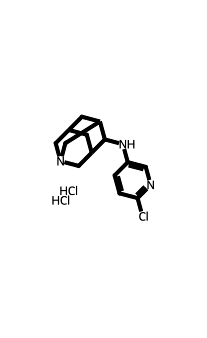 Cl.Cl.Clc1ccc(NC2C3CC4CC2CN(C4)C3)cn1